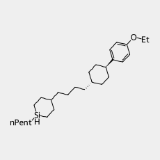 CCCCC[SiH]1CCC(CCCC[C@H]2CC[C@H](c3ccc(OCC)cc3)CC2)CC1